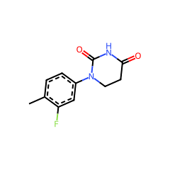 Cc1ccc(N2CCC(=O)NC2=O)cc1F